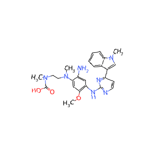 COc1cc(N(C)CCN(C)C(=O)O)c(N)cc1Nc1nccc(-c2cn(C)c3ccccc23)n1